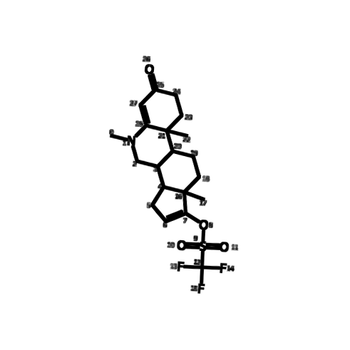 CN1CC2C3CC=C(OS(=O)(=O)C(F)(F)F)C3(C)CCC2C2(C)CCC(=O)C=C12